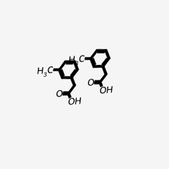 Cc1cccc(CC(=O)O)c1.Cc1cccc(CC(=O)O)c1